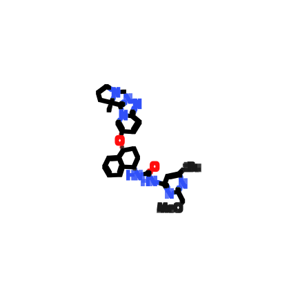 COCc1nc(NC(=O)N[C@H]2CC[C@@H](Oc3ccc4nnc([C@]5(C)CCCN5C)n4c3)c3ccccc32)cc(C(C)(C)C)n1